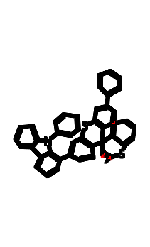 c1ccc(-c2ccc3c(c2)Sc2cc(-c4cccc5c6ccccc6n(-c6ccccc6)c45)ccc2C32c3ccccc3Sc3ccccc32)cc1